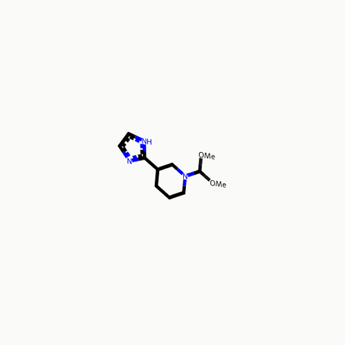 COC(OC)N1CCCC(c2ncc[nH]2)C1